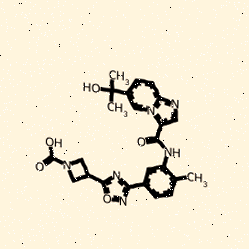 Cc1ccc(-c2noc(C3CN(C(=O)O)C3)n2)cc1NC(=O)c1cnc2ccc(C(C)(C)O)cn12